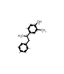 Cc1cc(C(C)Cc2ccccc2)ccc1O